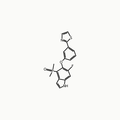 CP(C)(=O)c1c(Oc2cccc(-c3n[c]cs3)c2)c(F)cc2[nH]ccc12